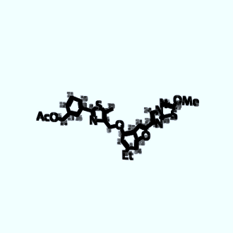 CCc1cc(OCc2nc(-c3cccc(COC(C)=O)c3)sc2C)c2cc(-c3cn4nc(OC)sc4n3)oc2c1